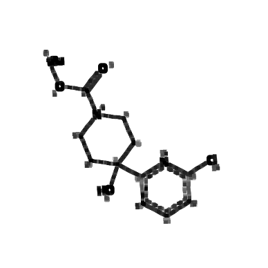 CC(C)(C)OC(=O)N1CCC(O)(c2cccc(Cl)n2)CC1